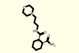 NC(=O)[C@H]1CCCC[C@H]1C(=O)NCCCN1CCOCC1